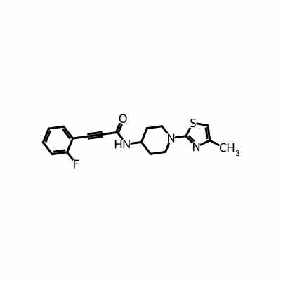 Cc1csc(N2CCC(NC(=O)C#Cc3ccccc3F)CC2)n1